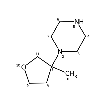 CC1(N2CCNCC2)CCOC1